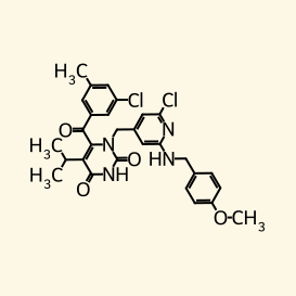 COc1ccc(CNc2cc(Cn3c(C(=O)c4cc(C)cc(Cl)c4)c(C(C)C)c(=O)[nH]c3=O)cc(Cl)n2)cc1